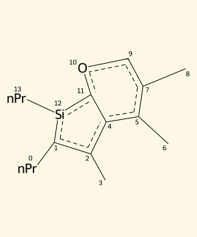 CCCc1c(C)c2c(C)c(C)coc-2[si]1CCC